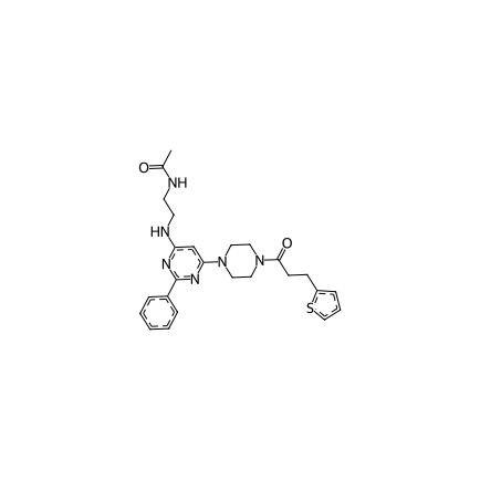 CC(=O)NCCNc1cc(N2CCN(C(=O)CCc3cccs3)CC2)nc(-c2ccccc2)n1